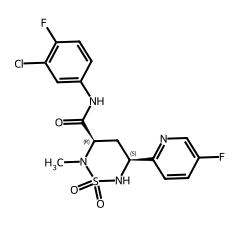 CN1[C@@H](C(=O)Nc2ccc(F)c(Cl)c2)C[C@@H](c2ccc(F)cn2)NS1(=O)=O